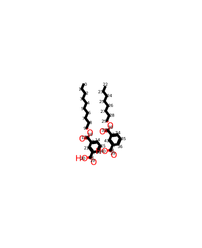 CCCCCCCCCCOC(=O)c1cccc(C(=O)O)c1.CCCCCCCCOC(=O)c1cccc(C(=O)O)c1